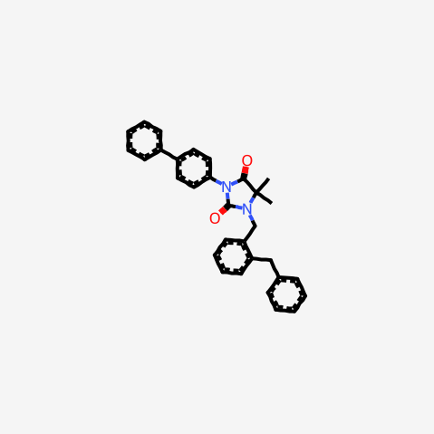 CC1(C)C(=O)N(c2ccc(-c3ccccc3)cc2)C(=O)N1Cc1ccccc1Cc1ccccc1